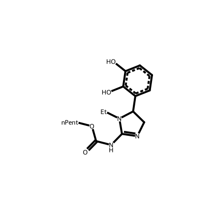 CCCCCOC(=O)NC1=NCC(c2cccc(O)c2O)N1CC